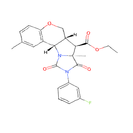 CCOC(=O)[C@@H]1[C@H]2COc3ccc(C)cc3[C@H]2N2C(=O)N(c3cccc(F)c3)C(=O)[C@]12C